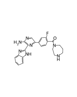 Nc1ncc(-c2ccc(C(=O)N3CCCNCC3)c(F)c2)nc1-c1nc2ccccc2[nH]1